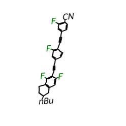 CCCCC1CCc2c(cc(F)c(C#Cc3ccc(C#Cc4ccc(C#N)c(F)c4)c(F)c3)c2F)C1